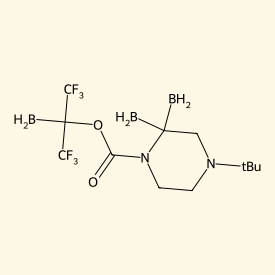 BC1(B)CN(C(C)(C)C)CCN1C(=O)OC(B)(C(F)(F)F)C(F)(F)F